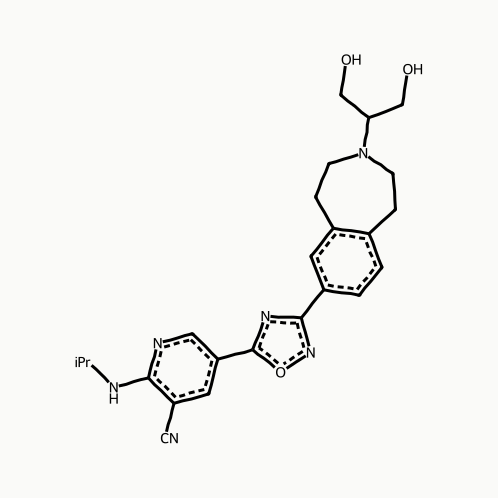 CC(C)Nc1ncc(-c2nc(-c3ccc4c(c3)CCN(C(CO)CO)CC4)no2)cc1C#N